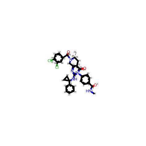 CNC(=O)c1ccc(-n2c(NC3(c4ccccc4)CC3)nc3c(c2=O)C[C@@H](C)N(C(=O)c2ccc(Cl)c(Cl)c2)C3)cc1